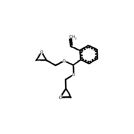 C=Cc1ccccc1C(OCC1CO1)OCC1CO1